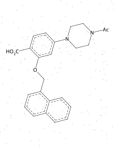 CC(=O)N1CCN(c2ccc(C(=O)O)c(OCc3cccc4ccccc34)c2)CC1